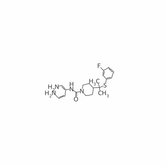 CC(C)(Sc1cccc(F)c1)C1CCN(C(=O)NC(/C=C\N)=C/N)CC1